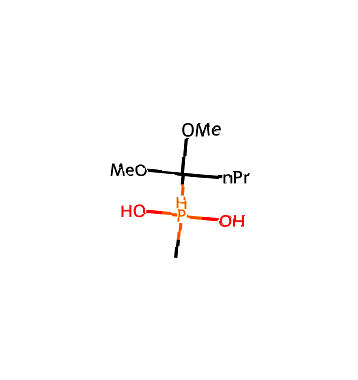 CCCC(OC)(OC)[PH](C)(O)O